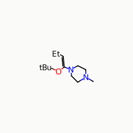 CC/C=C(\OC(C)(C)C)N1CCN(C)CC1